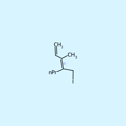 C=C/C(C)=C(/CI)CCC